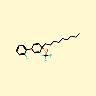 CCCCCCCCCC1(OC(F)(F)F)C=CC(c2ccccc2F)C=C1